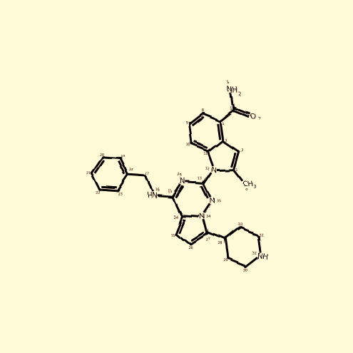 Cc1cc2c(C(N)=O)cccc2n1-c1nc(NCc2ccccc2)c2ccc(C3CCNCC3)n2n1